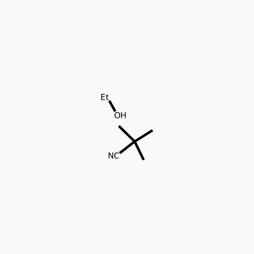 CC(C)(C)C#N.CCO